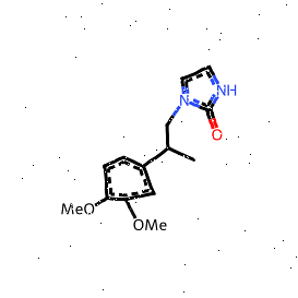 COc1ccc(C(C)Cn2cc[nH]c2=O)cc1OC